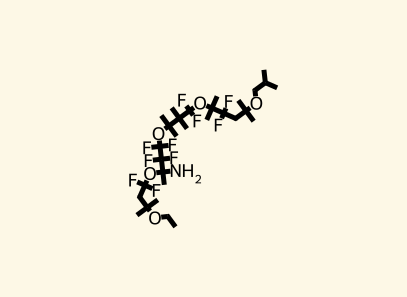 CCOC(C)(C)CC(F)(F)OC(C)(N)C(F)(F)C(F)(F)OC(C)(C)C(C)(C)C(F)(F)OC(C)(C)C(F)(F)CC(C)(C)OCC(C)C